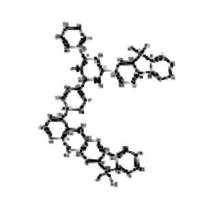 CC1(C)c2ccccc2-c2ccc(-c3nc(-c4ccccc4)nc(-c4ccc(-c5cccc6c5Oc5cc7c(cc5O6)C(C)(C)c5ccccc5-7)cc4)n3)cc21